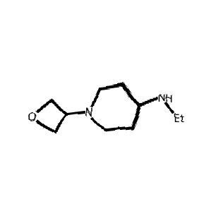 CCNC1CCN(C2COC2)CC1